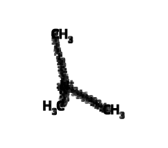 CCCCCCCCCCCCCCCCCCC[n+]1ccn(CCCCCC)c1CCCCCCCCCCCCCCCCC